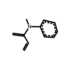 C=CC(=C)N(C)c1ccccc1